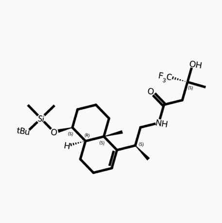 C[C@H](CNC(=O)C[C@](C)(O)C(F)(F)F)C1=CCC[C@H]2[C@@H](O[Si](C)(C)C(C)(C)C)CCC[C@]12C